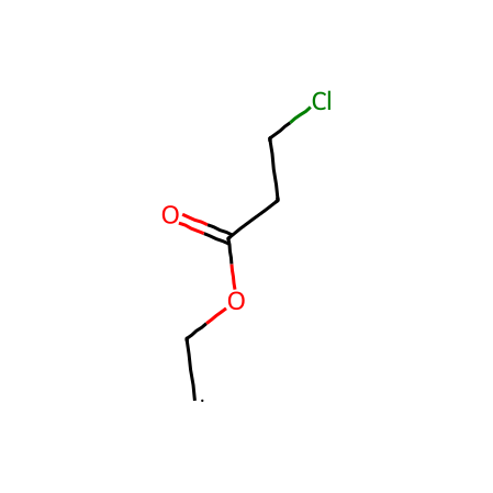 [CH2]COC(=O)CCCl